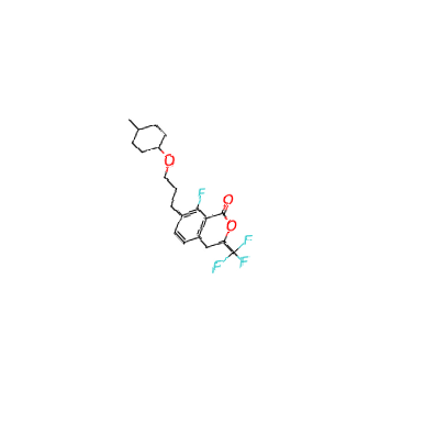 CC1CCC(OCCCc2ccc3c(c2F)C(=O)OC(C(F)(F)F)C3)CC1